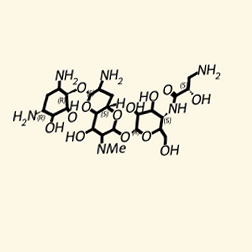 CNC1C(O[C@H]2OC(CO)[C@@H](NC(=O)[C@@H](O)CN)C(O)C2O)O[C@H]2CC(N)[C@@H](O[C@@H]3C(N)C[C@@H](N)C(O)C3O)OC2C1O